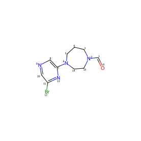 O=CN1CCCN(c2cncc(Br)n2)CC1